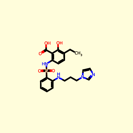 CCc1ccc(NS(=O)(=O)c2ccccc2NCCCn2ccnc2)c(C(=O)O)c1O